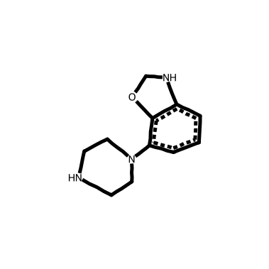 c1cc2c(c(N3CCNCC3)c1)OCN2